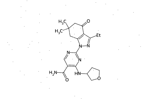 CCc1nn(-c2ncc(C(N)=O)c(NC3CCOC3)n2)c2c1C(=O)CC(C)(C)C2